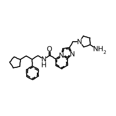 NC1CCN(Cc2cn3c(C(=O)NCC(CC4CCCC4)c4ccccc4)cccc3n2)C1